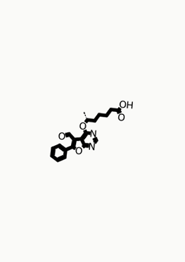 C[C@H](CCCCC(=O)O)Oc1ncnc2oc(-c3ccccc3)c(C=O)c12